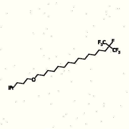 CC(C)CCCOCCCCCCCCCCCCCCC(F)(C(F)(F)F)C(F)(F)F